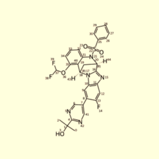 CC(C)(O)c1ncc(-c2cc3c(cc2F)nc2n3[C@@H]3C[C@H]2N(S(=O)(=O)c2ccccc2)c2cccc(OC(F)F)c23)cn1